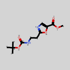 COC(=O)c1cnc(CCNC(=O)OC(C)(C)C)o1